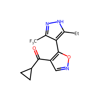 CCc1[nH]nc(C(F)(F)F)c1-c1oncc1C(=O)C1CC1